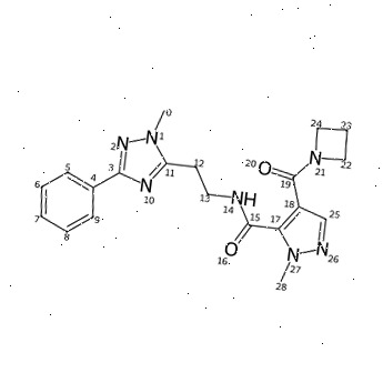 Cn1nc(-c2ccccc2)nc1CCNC(=O)c1c(C(=O)N2CCC2)cnn1C